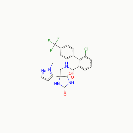 Cn1nccc1C1(CNC(=O)c2cccc(Cl)c2-c2ccc(C(F)(F)F)cc2)NC(=O)NC1O